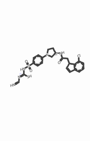 N=C/N=C(\S)NS(=O)(=O)c1ccc(N2CC[C@@H](NC(=O)CC3C=Cc4cccc(Cl)c43)C2)cc1